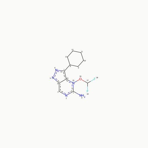 Nc1ncc2nnc(C3CCCCC3)c-2n1OC(F)F